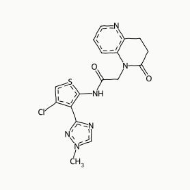 Cn1cnc(-c2c(Cl)csc2NC(=O)CN2C(=O)CCc3ncccc32)n1